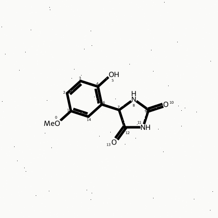 COc1ccc(O)c(C2NC(=O)NC2=O)c1